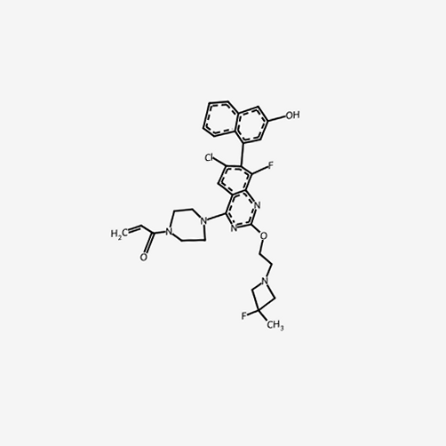 C=CC(=O)N1CCN(c2nc(OCCN3CC(C)(F)C3)nc3c(F)c(-c4cc(O)cc5ccccc45)c(Cl)cc23)CC1